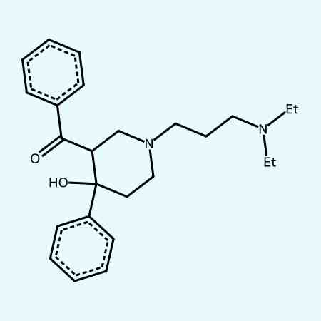 CCN(CC)CCCN1CCC(O)(c2ccccc2)C(C(=O)c2ccccc2)C1